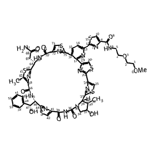 COCCOCCNC(=O)c1csc(-c2ccc3c(n2)-c2csc(n2)-c2csc(n2)[C@@H]2[C@@H](C)[C@@H](O)CN2C(=O)NC(=O)c2csc(n2)[C@H]([C@H](O)c2ccccc2)NC(=O)c2nc(sc2C)[C@H](CC(N)=O)NC(=O)c2csc-3n2)n1